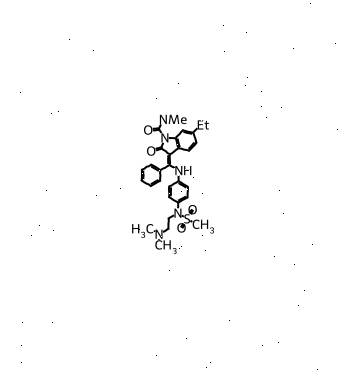 CCc1ccc2c(c1)N(C(=O)NC)C(=O)C2=C(Nc1ccc(N(CCN(C)C)S(C)(=O)=O)cc1)c1ccccc1